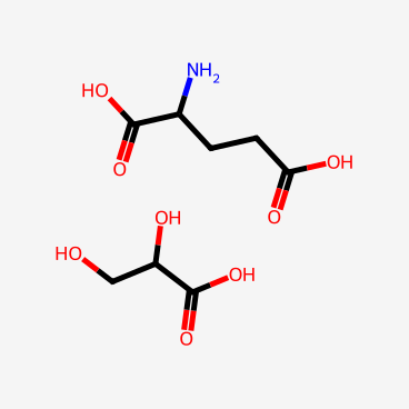 NC(CCC(=O)O)C(=O)O.O=C(O)C(O)CO